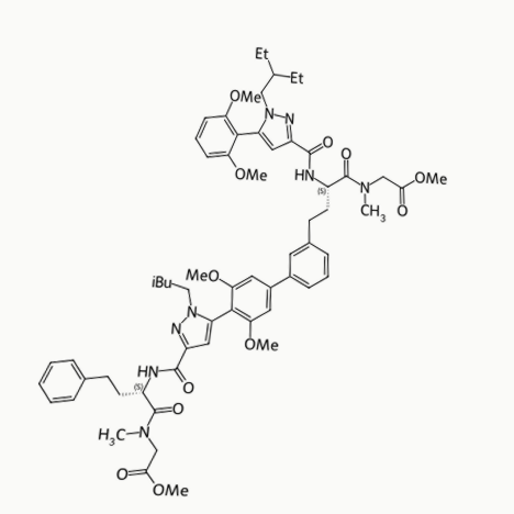 CCC(C)Cn1nc(C(=O)N[C@@H](CCc2ccccc2)C(=O)N(C)CC(=O)OC)cc1-c1c(OC)cc(-c2cccc(CC[C@H](NC(=O)c3cc(-c4c(OC)cccc4OC)n(CC(CC)CC)n3)C(=O)N(C)CC(=O)OC)c2)cc1OC